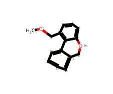 COCc1cccc2c1-c1ccccc1CO2